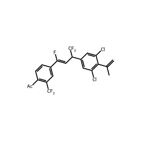 C=C(C)c1c(Cl)cc(C(/C=C(\F)c2ccc(C(C)=O)c(C(F)(F)F)c2)C(F)(F)F)cc1Cl